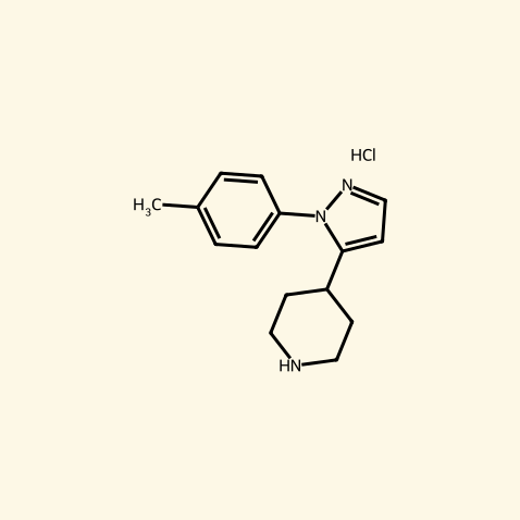 Cc1ccc(-n2nccc2C2CCNCC2)cc1.Cl